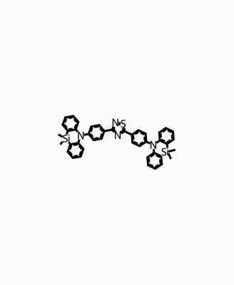 C[Si]1(C)c2ccccc2N(c2ccc(-c3nsc(-c4ccc(N5c6ccccc6[Si](C)(C)c6ccccc65)cc4)n3)cc2)c2ccccc21